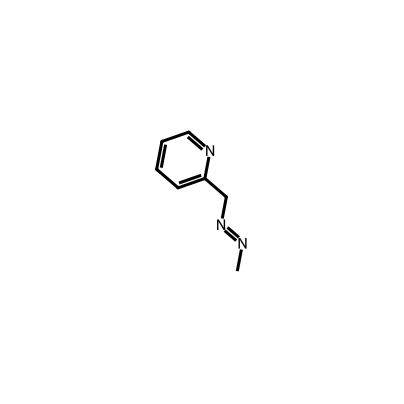 CN=NCc1ccccn1